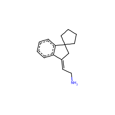 NCC=C1CC2(CCCC2)c2ccccc21